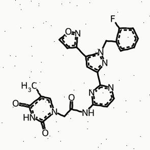 Cc1cn(CC(=O)Nc2ccnc(-c3cc(-c4ccon4)n(Cc4ccccc4F)n3)n2)c(=O)[nH]c1=O